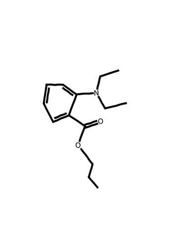 CCCOC(=O)c1ccccc1N(CC)CC